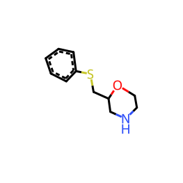 c1ccc(SCC2CNCCO2)cc1